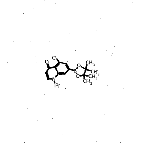 CC(C)n1ccc(=O)c2c(Cl)cc(B3OC(C)(C)C(C)(C)O3)cc21